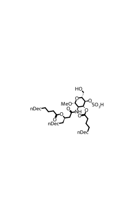 CCCCCCCCCCCCCC(=O)O[C@H](CCCCCCCCCCC)CC(=O)N[C@H]1[C@H](OC)O[C@H](CO)[C@@H](OS(=O)(=O)O)[C@@H]1OC(=O)CCCCCCCCCCCCC